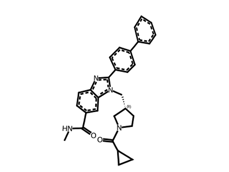 CNC(=O)c1ccc2nc(-c3ccc(-c4ccccc4)cc3)n(C[C@@H]3CCN(C(=O)C4CC4)C3)c2c1